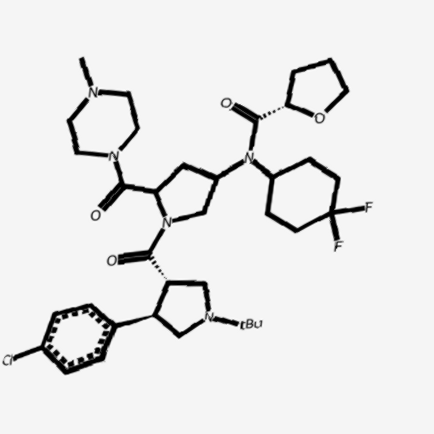 CN1CCN(C(=O)C2CC(N(C(=O)[C@@H]3CCCO3)C3CCC(F)(F)CC3)CN2C(=O)[C@@H]2CN(C(C)(C)C)C[C@H]2c2ccc(Cl)cc2)CC1